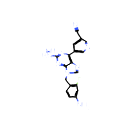 N#Cc1cncc(-c2nc(NN)nc3c2ncn3Cc2ccc(N)cc2F)c1